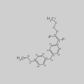 CCCC/C(F)=C(\F)c1ccc(Cc2ccc(CCC)cc2)cc1